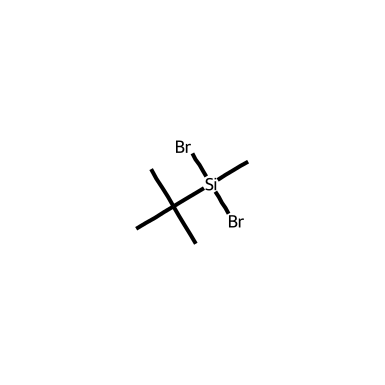 CC(C)(C)[Si](C)(Br)Br